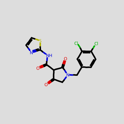 O=C1CN(Cc2ccc(Cl)c(Cl)c2)C(=O)C1C(=O)Nc1nccs1